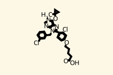 CC1(Oc2ncnc3c2nc(-c2ccc(OCCCCC(=O)O)cc2Cl)n3Cc2cccc(Cl)c2)CC1